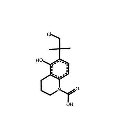 CC(C)(CCl)c1ccc2c(c1O)CCCN2C(=O)O